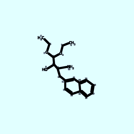 CCOC(OCC)C(O)C(N)Cc1ccc2ccccc2c1